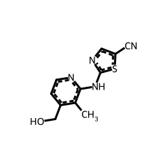 Cc1c(CO)ccnc1Nc1ncc(C#N)s1